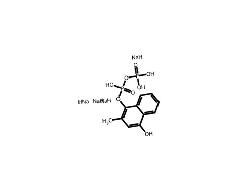 Cc1cc(O)c2ccccc2c1OP(=O)(O)OP(=O)(O)O.[NaH].[NaH].[NaH].[NaH]